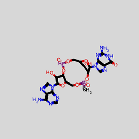 BP1(=O)OCC2OC(n3cnc4c(N)ncnc43)C(O)C2O[PH](=O)OCC2OC(n3cnc4c(=O)[nH]c(N)nc43)C(O1)C2O